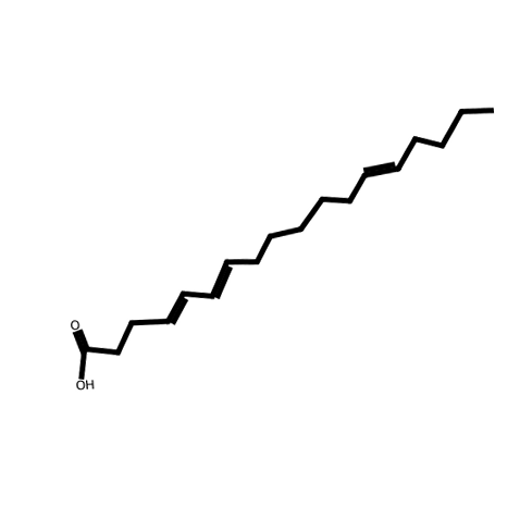 CCCC/C=C/CCCCC/C=C/C=C/CCC(=O)O